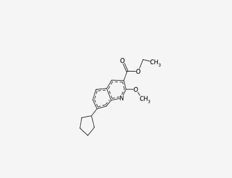 CCOC(=O)c1cc2ccc(C3CCCC3)cc2nc1OC